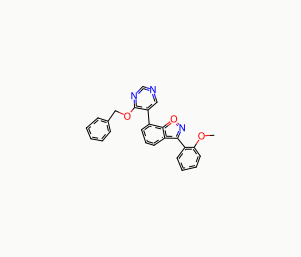 COc1ccccc1-c1noc2c(-c3cncnc3OCc3ccccc3)cccc12